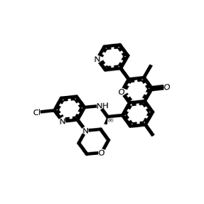 Cc1cc([C@@H](C)Nc2ccc(Cl)nc2N2CCOCC2)c2oc(-c3cccnc3)c(C)c(=O)c2c1